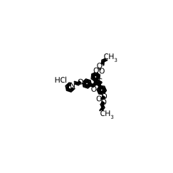 CCCCOC(=O)Oc1ccc(-c2sc3cc(OC(=O)OCCCC)ccc3c2C(=O)c2ccc(OCCN3CCCCC3)cc2)cc1.Cl